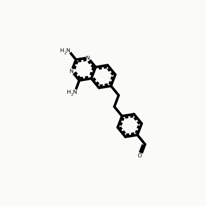 Nc1nc(N)c2cc(CCc3ccc(C=O)cc3)ccc2n1